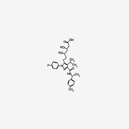 Cc1ccc([C@H](C)NC(=O)c2nn(-c3ccc(F)cc3)c(CC[C@@H](O)C[C@@H](O)CC(=O)O)c2C(C)C)cc1